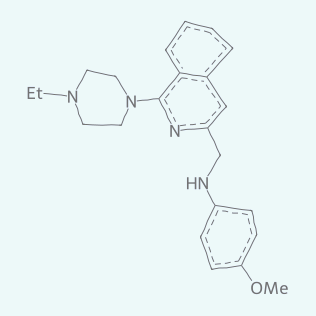 CCN1CCN(c2nc(CNc3ccc(OC)cc3)cc3ccccc23)CC1